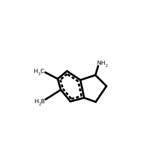 Bc1cc2c(cc1C)C(N)CC2